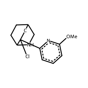 COc1cccc(C2(Cl)CC3CCC2NC3)n1